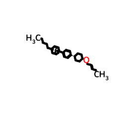 CC/C=C/CO[C@H]1CC[C@H](c2ccc(C34CCC(CCCCC)(CC3)CC4)cc2)CC1